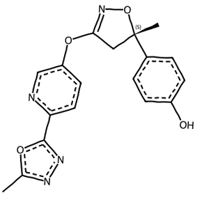 Cc1nnc(-c2ccc(OC3=NO[C@](C)(c4ccc(O)cc4)C3)cn2)o1